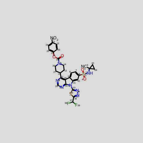 N#CC1(NS(=O)(=O)c2ccc3c4c(C5CCN(C(=O)Oc6ccc([N+](=O)[O-])cc6)CC5)ncnc4n(-c4nnc(C(F)F)s4)c3c2)CC1